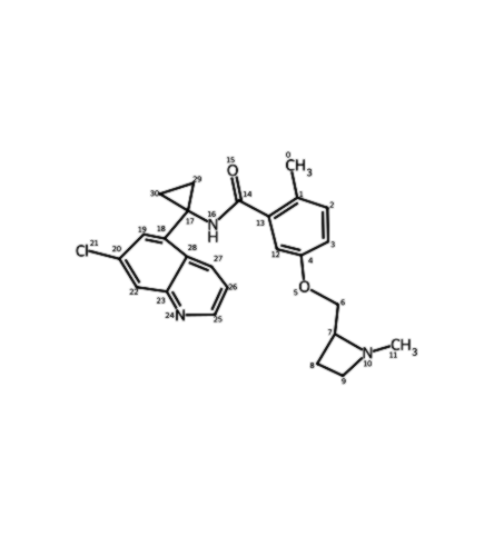 Cc1ccc(OCC2CCN2C)cc1C(=O)NC1(c2cc(Cl)cc3ncccc23)CC1